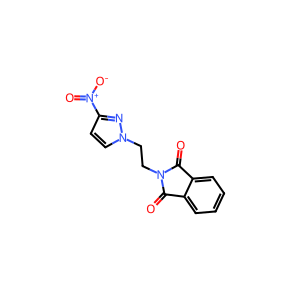 O=C1c2ccccc2C(=O)N1CCn1ccc([N+](=O)[O-])n1